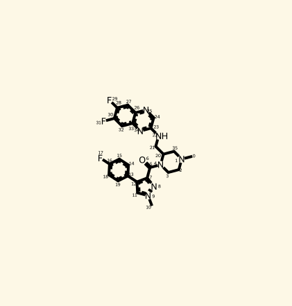 CN1CCN(C(=O)c2nn(C)cc2-c2ccc(F)cc2)C(CNc2cnc3cc(F)c(F)cc3n2)C1